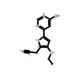 CCOc1cc(-c2cc(O)ncn2)sc1CC#N